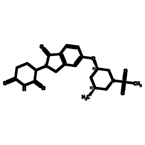 C[C@@H]1C[C@@H](Oc2ccc3c(c2)CN(C2CCC(=O)NC2=O)C3=O)CN(S(C)(=O)=O)C1